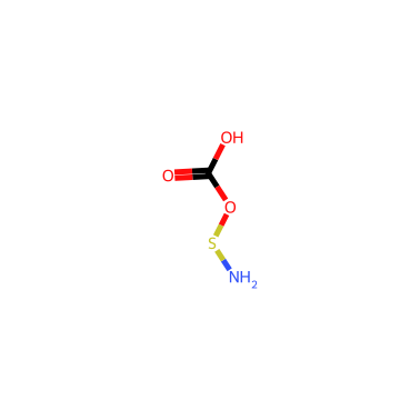 NSOC(=O)O